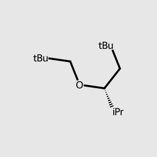 CC(C)[C@@H](CC(C)(C)C)OCC(C)(C)C